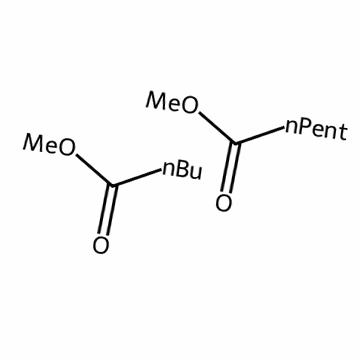 CCCCC(=O)OC.CCCCCC(=O)OC